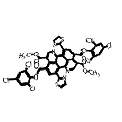 COC(=O)c1cnc2c3c(-c4nccs4)cc(C(=O)Oc4c(Cl)cc(Cl)cc4Cl)c4c(C(=O)OC)cnc(c5c(-c6nccs6)cc(C(=O)Oc6c(Cl)cc(Cl)cc6Cl)c1c25)c43